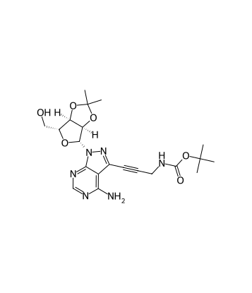 CC(C)(C)OC(=O)NCC#Cc1nn([C@@H]2O[C@H](CO)[C@H]3OC(C)(C)O[C@H]32)c2ncnc(N)c12